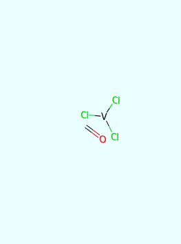 C=O.[Cl][V]([Cl])[Cl]